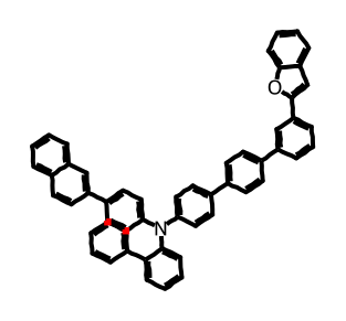 c1ccc(-c2ccccc2N(c2ccc(-c3ccc(-c4cccc(-c5cc6ccccc6o5)c4)cc3)cc2)c2ccc(-c3ccc4ccccc4c3)cc2)cc1